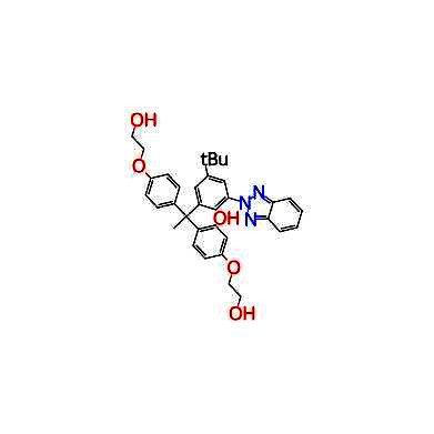 CC(C)(C)c1cc(-n2nc3ccccc3n2)c(O)c(C(C)(c2ccc(OCCO)cc2)c2ccc(OCCO)cc2)c1